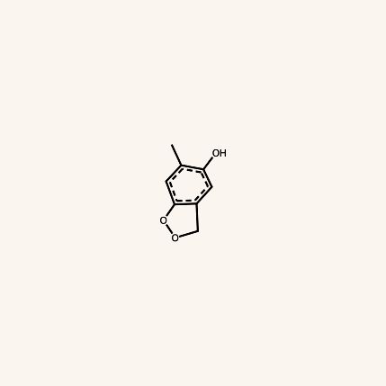 Cc1cc2c(cc1O)COO2